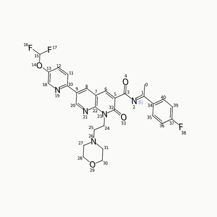 C/C(=N\C(=O)c1cc2cc(-c3ccc(OC(F)F)cn3)cnc2n(CCN2CCOCC2)c1=O)c1ccc(F)cc1